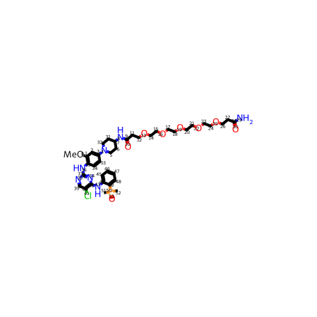 COc1cc(N2CCC(NC(=O)CCOCCOCCOCCOCCOCCC(N)=O)CC2)ccc1Nc1ncc(Cl)c(Nc2ccccc2P(C)(C)=O)n1